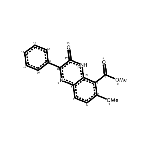 COC(=O)c1c(OC)ccc2nc(-c3ccccc3)c(=O)[nH]c12